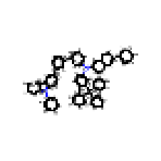 C1=CC2C=C(N(c3cccc(-c4cccc(-c5ccc6c(c5)c5ccccc5n6-c5ccccc5)c4)c3)c3ccc4c(c3)C(c3ccccc3)(c3ccccc3)c3ccccc3-4)C=CC2C=C1c1ccccc1